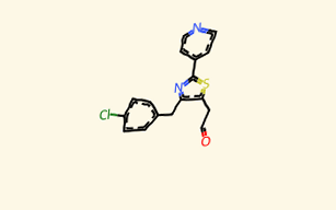 O=CCc1sc(-c2ccncc2)nc1Cc1ccc(Cl)cc1